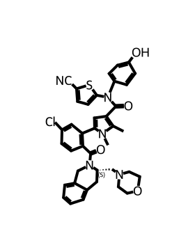 Cc1c(C(=O)N(c2ccc(O)cc2)c2ccc(C#N)s2)cc(-c2cc(Cl)ccc2C(=O)N2Cc3ccccc3C[C@H]2CN2CCOCC2)n1C